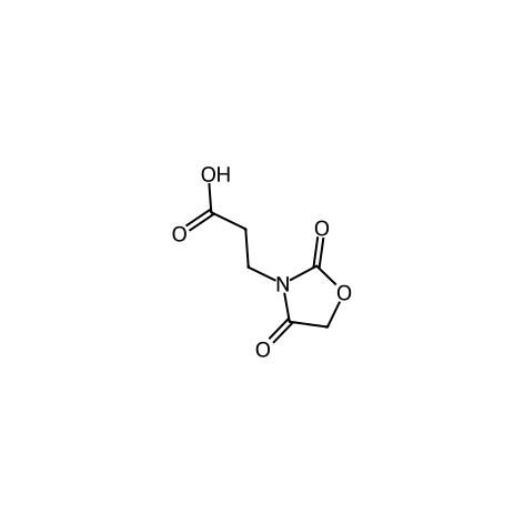 O=C(O)CCN1C(=O)COC1=O